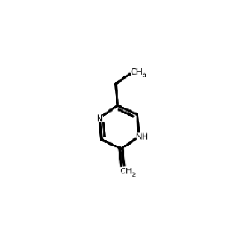 C=C1C=NC(CC)=CN1